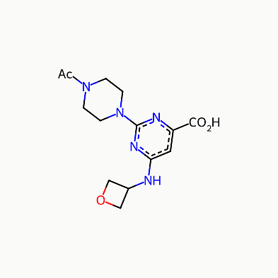 CC(=O)N1CCN(c2nc(NC3COC3)cc(C(=O)O)n2)CC1